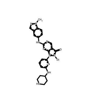 CCn1c(=O)c2cnc(Nc3ccc4c(cnn4C)c3)nc2n1-c1cccc(NC2CCNCC2)n1